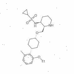 CCOc1cccc(C)c1[C@H]1CC[C@@H](OC[C@@H]2NCCC[C@@H]2NS(=O)(=O)C2CC2)CC1